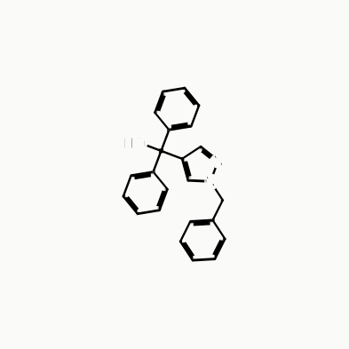 OC(c1ccccc1)(c1ccccc1)c1cnn(Cc2ccccc2)c1